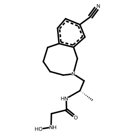 C[C@@H](CN1CCCCc2ccc(C#N)cc2C1)NC(=O)CNO